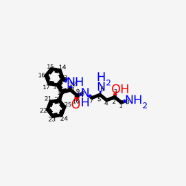 NCC(O)C[C@H](N)CNC(=O)c1[nH]c2ccccc2c1-c1ccccc1